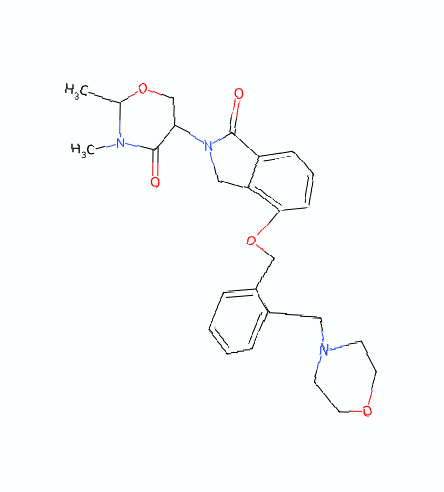 CC1OCC(N2Cc3c(OCc4ccccc4CN4CCOCC4)cccc3C2=O)C(=O)N1C